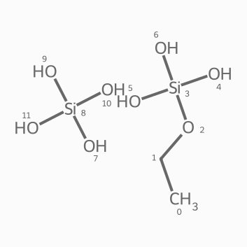 CCO[Si](O)(O)O.O[Si](O)(O)O